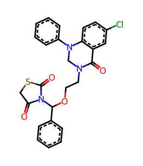 O=C1c2cc(Cl)ccc2N(c2ccccc2)CN1CCOC(c1ccccc1)N1C(=O)CSC1=O